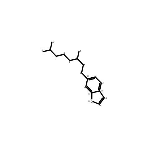 CC(C)CCCC(C)CCc1ccc2ccsc2c1